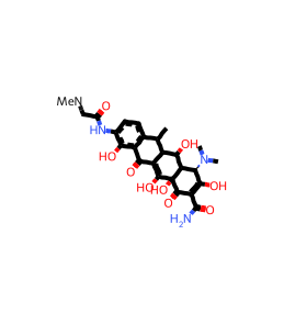 CNCC(=O)Nc1ccc2c(c1O)C(=O)C1=C(O)C3(O)C(=O)C(C(N)=O)=C(O)[C@@H](N(C)C)C3C(O)C1C2C